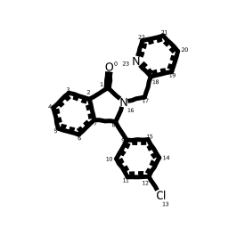 O=C1c2ccccc2C(c2ccc(Cl)cc2)N1Cc1ccccn1